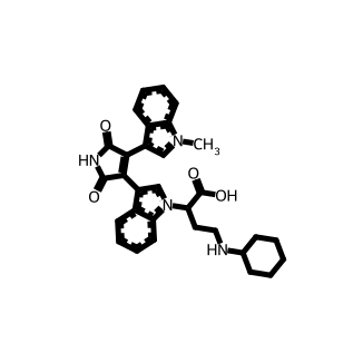 Cn1cc(C2=C(c3cn(C(CCNC4CCCCC4)C(=O)O)c4ccccc34)C(=O)NC2=O)c2ccccc21